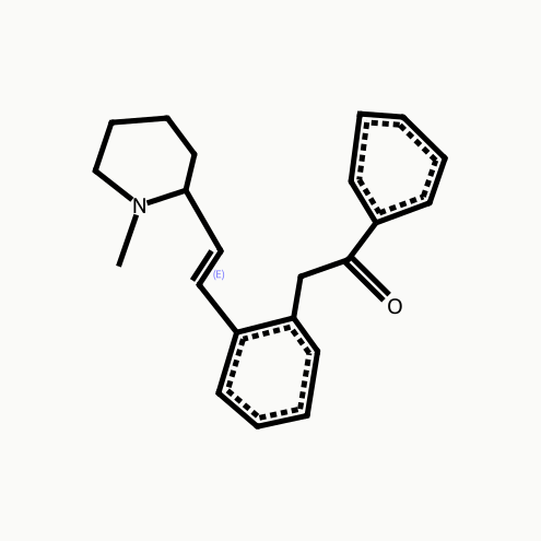 CN1CCCCC1/C=C/c1ccccc1CC(=O)c1ccccc1